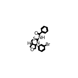 O=C(NC1=N[C@@]2(c3cccc(Br)c3)COC[C@H]2CS1)c1ccccc1